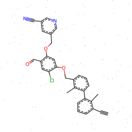 C#Cc1cccc(-c2cccc(COc3cc(OCc4cncc(C#N)c4)c(C=O)cc3Cl)c2C)c1C